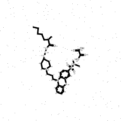 CCCCCC(C)C(=O)OCCC1CCN(CCCN2c3ccccc3Sc3cc(S(=O)(=O)N(C)C)ccc32)CC1.O=C(O)C(=O)O